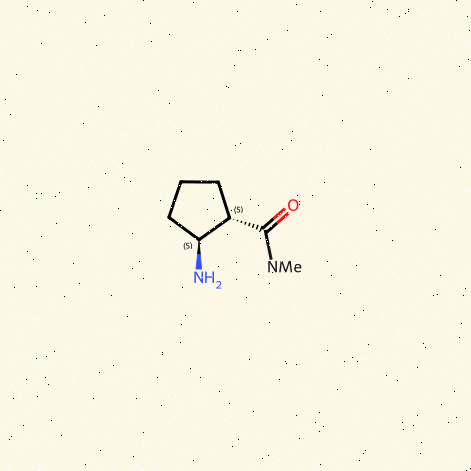 CNC(=O)[C@H]1CCC[C@@H]1N